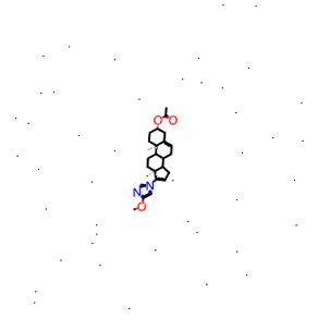 COc1cn(C2=CCC3C4CC=C5C[C@@H](OC(C)=O)CC[C@]5(C)C4CC[C@]23C)cn1